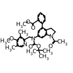 COC(=O)c1ccccc1-c1cc(N(Cc2ncc(C)c(OC)c2C)C(=O)OC(C)(C)C)cc2c1CCN2C(C)=O